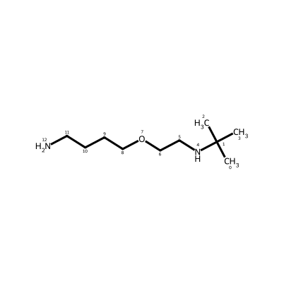 CC(C)(C)NCCOCCCCN